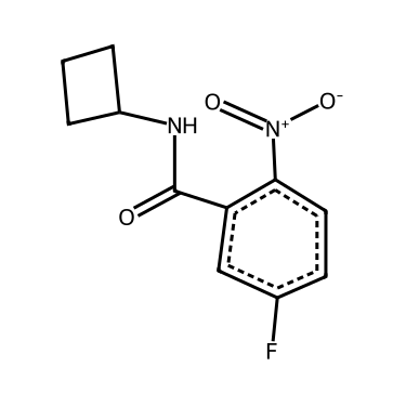 O=C(NC1CCC1)c1cc(F)ccc1[N+](=O)[O-]